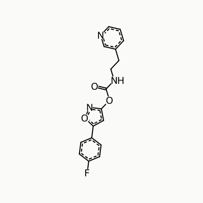 O=C(NCCc1cccnc1)Oc1cc(-c2ccc(F)cc2)on1